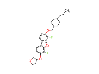 CCCC1CCC(COc2ccc3c(oc4c(F)c(OC5CCOC5)ccc43)c2F)CC1